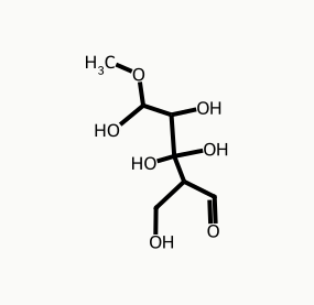 COC(O)C(O)C(O)(O)C(C=O)CO